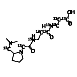 CN(C)[13CH2]C1CCCN1[13CH2]C(=O)[15NH]C[13CH2][13C](=O)[15NH][13CH2][13CH2][13C](=O)O